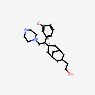 OCCC1CC2CC(C1)CC(C(CN1CCNCC1)c1cccc(Br)c1)C2